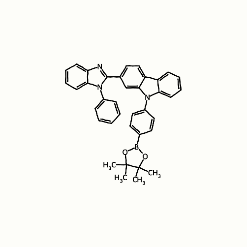 CC1(C)OB(c2ccc(-n3c4ccccc4c4ccc(-c5nc6ccccc6n5-c5ccccc5)cc43)cc2)OC1(C)C